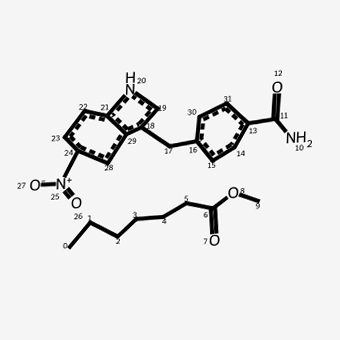 CCCCCCC(=O)OC.NC(=O)c1ccc(Cc2c[nH]c3ccc([N+](=O)[O-])cc23)cc1